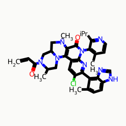 C=CC(=O)N1CC2CN(C)c3c(c4cc(Cl)c(-c5c(C)ccc6[nH]cnc56)nc4n(-c4c(C)ccnc4C(C)C)c3=O)N2CC1C